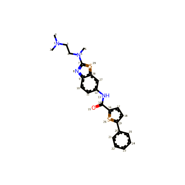 CN(C)CCN(C)c1nc2ccc(NC(=O)c3ccc(-c4ccccc4)s3)cc2s1